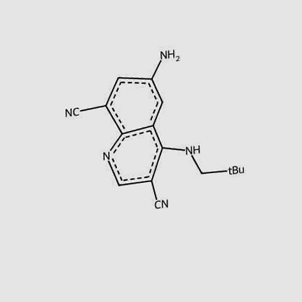 CC(C)(C)CNc1c(C#N)cnc2c(C#N)cc(N)cc12